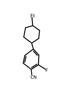 CCC1CCC(c2ccc(C#N)c(F)c2)CC1